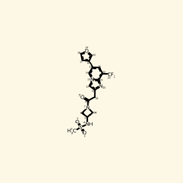 CS(=O)(=O)NC1CN(C(=O)Cc2cn3cc(-c4ccoc4)cc(C(F)(F)F)c3n2)C1